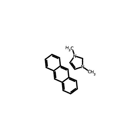 CN1C=CN(C)C1.c1ccc2cc3ccccc3cc2c1